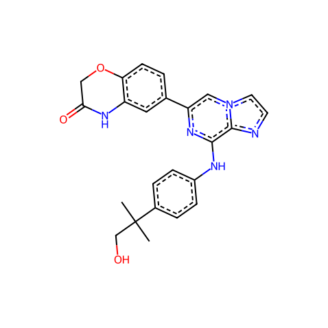 CC(C)(CO)c1ccc(Nc2nc(-c3ccc4c(c3)NC(=O)CO4)cn3ccnc23)cc1